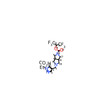 CCn1ncc(CN2CC3CN(C(=O)OC(C(F)(F)F)C(F)(F)F)CC3C2)c1C(=O)O